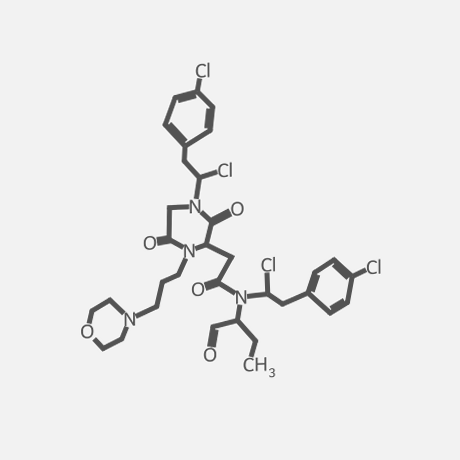 CCC(C=O)N(C(=O)CC1C(=O)N(C(Cl)Cc2ccc(Cl)cc2)CC(=O)N1CCCN1CCOCC1)C(Cl)Cc1ccc(Cl)cc1